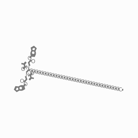 C=C=C=C=C=C=C=C=C=C=C=C=C=C=C=C=C=C=C=C=C=C=C=C=C=C=C=C=C=C=C=C=C=C=C=C(CN(CCC(=O)OC1CC2CC1C1C=CCC21)C(=O)C(=C)C)N(CCC(=O)OC1CC2CC1C1C=CCC21)C(=O)C(=C)C